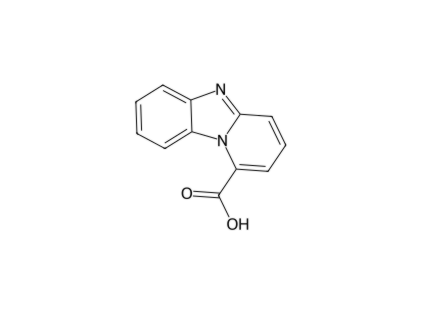 O=C(O)c1cccc2nc3ccccc3n12